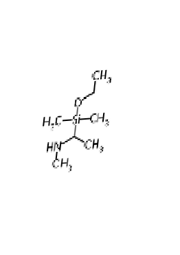 CCO[Si](C)(C)C(C)NC